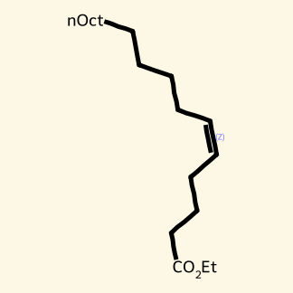 CCCCCCCCCCCC/C=C\CCCC(=O)OCC